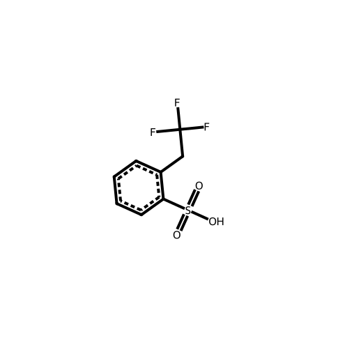 O=S(=O)(O)c1ccccc1CC(F)(F)F